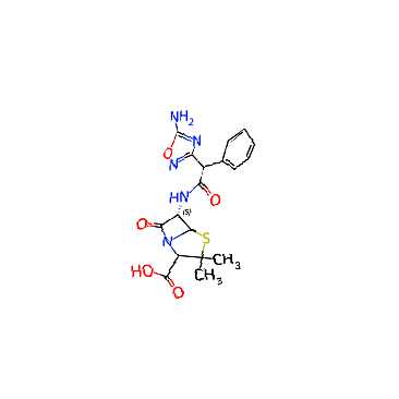 CC1(C)SC2[C@@H](NC(=O)C(c3ccccc3)c3noc(N)n3)C(=O)N2C1C(=O)O